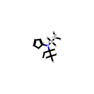 CCC(C)([N](C1=CC=CC1)[Ti]([CH3])([CH3])[SiH](C)C)C(C)(C)C